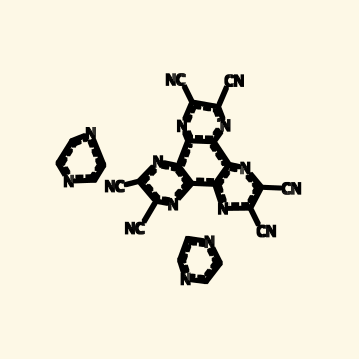 N#Cc1nc2c3nc(C#N)c(C#N)nc3c3nc(C#N)c(C#N)nc3c2nc1C#N.c1cnccn1.c1cnccn1